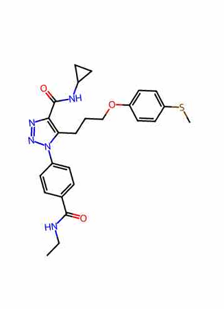 CCNC(=O)c1ccc(-n2nnc(C(=O)NC3CC3)c2CCCOc2ccc(SC)cc2)cc1